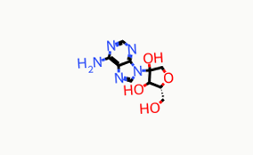 Nc1ncnc2c1ncn2C1(O)CO[C@H](CO)C1O